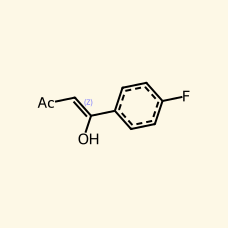 CC(=O)/C=C(\O)c1ccc(F)cc1